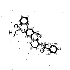 CS(=O)(=O)c1ccccc1-c1ccc(N2CCCC(NC(=O)c3ccccc3)C2=O)c(F)c1